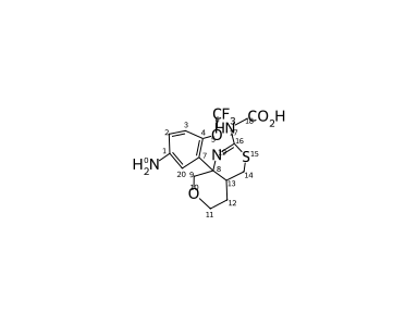 Nc1ccc(OC(F)(F)F)c(C23COCCC2CSC(NC(=O)O)=N3)c1